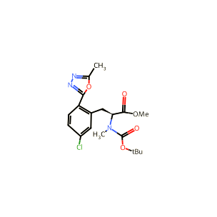 COC(=O)[C@H](Cc1cc(Cl)ccc1-c1nnc(C)o1)N(C)C(=O)OC(C)(C)C